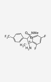 CNS(=O)(=O)C(c1ccc(C(F)(F)F)cc1)[C@](C)(N)c1ccc(F)cc1F